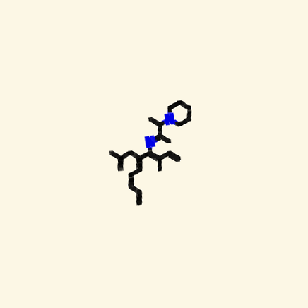 C=C/C=C\C=C(/CC(=C)C)C(/N=C(\C)C(C)N1CCCCC1)=C(C)C=C